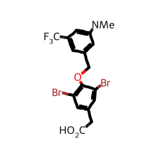 CNc1cc(COc2c(Br)cc(CC(=O)O)cc2Br)cc(C(F)(F)F)c1